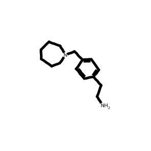 NCCc1ccc(CN2CCCCCC2)cc1